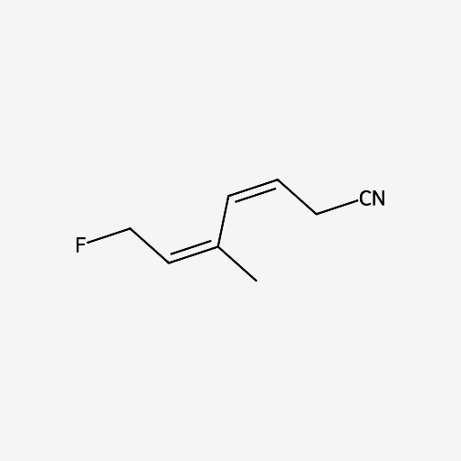 CC(/C=C\CC#N)=C/CF